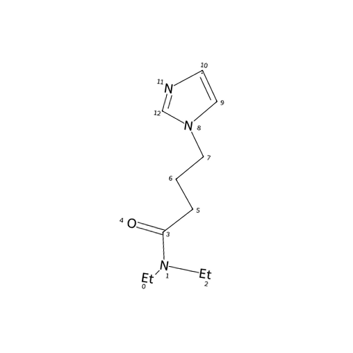 CCN(CC)C(=O)CCCn1c[c]nc1